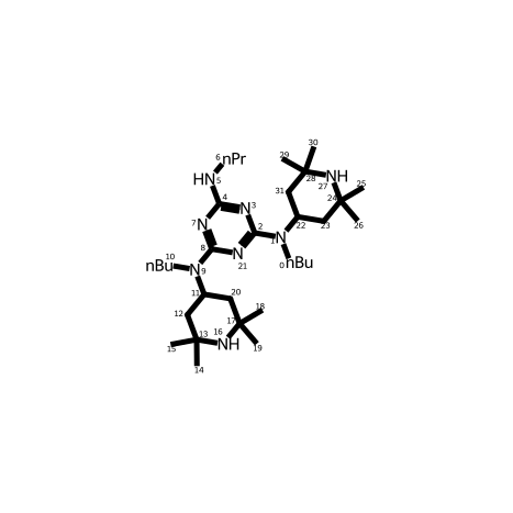 CCCCN(c1nc(NCCC)nc(N(CCCC)C2CC(C)(C)NC(C)(C)C2)n1)C1CC(C)(C)NC(C)(C)C1